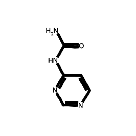 NC(=O)Nc1ccn[c]n1